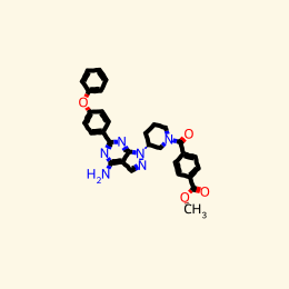 COC(=O)c1ccc(C(=O)N2CCC[C@@H](n3ncc4c(N)nc(-c5ccc(Oc6ccccc6)cc5)nc43)C2)cc1